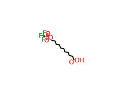 O=C(O)CCCCCCCCCCOS(=O)(=O)C(F)(F)F